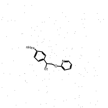 CCCCCCc1ccc(C(CC)COc2ccccn2)cc1